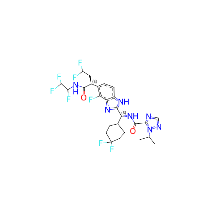 CC(C)n1ncnc1C(=O)N[C@H](c1nc2c(F)c([C@H](CC(F)F)C(=O)NC(F)C(F)F)ccc2[nH]1)C1CCC(F)(F)CC1